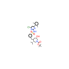 Cc1cccc(C)c1-c1cc(Cl)nc(NS(=O)(=O)c2cccc(CC3C[C@H](O)CN(C(=O)OC(C)(C)C)C[C@@H]3C(C)C)c2)n1